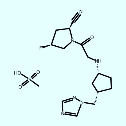 CS(=O)(=O)O.N#C[C@@H]1C[C@H](F)CN1C(=O)CN[C@@H]1CC[C@H](Cn2cncn2)C1